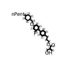 C=C(CO)C(=O)OCCCc1ccc(-c2ccc(OCC3CCC(CCCCC)CC3)cc2F)cc1